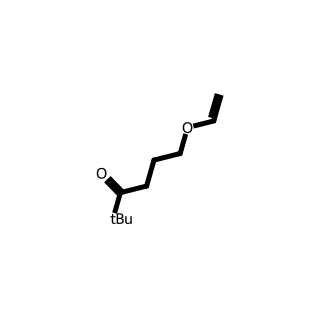 C=COCCCC(=O)C(C)(C)C